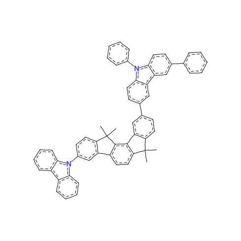 CC1(C)c2ccc(-c3ccc4c(c3)c3cc(-c5ccccc5)ccc3n4-c3ccccc3)cc2-c2c1ccc1c2C(C)(C)c2ccc(-n3c4ccccc4c4ccccc43)cc2-1